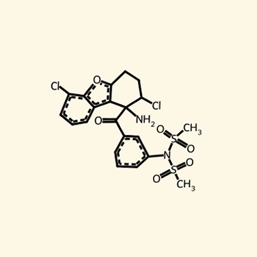 CS(=O)(=O)N(c1cccc(C(=O)C2(N)c3c(oc4c(Cl)cccc34)CCC2Cl)c1)S(C)(=O)=O